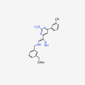 COCc1cccc(CN/C=C(\N=N)c2cc(-c3cccc(C#N)c3)nc(N)n2)c1